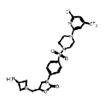 NC1CN(CC2CN(c3ccc(S(=O)(=O)N4CCN(c5cc(C(F)(F)F)cc(Cl)n5)CC4)cc3)C(=O)O2)C1